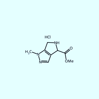 COC(=O)C1NCc2c1cnn2C.Cl